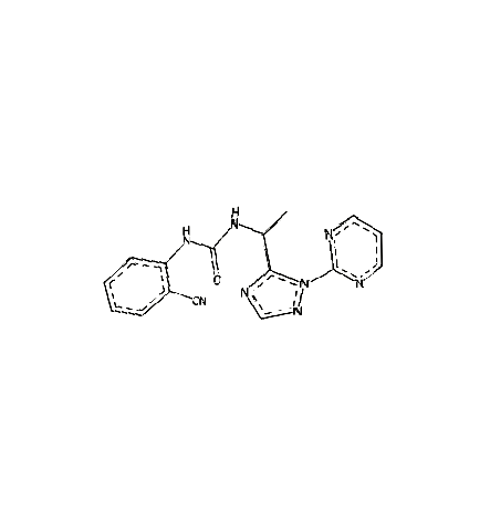 CC(NC(=O)Nc1ccccc1C#N)c1ncnn1-c1ncccn1